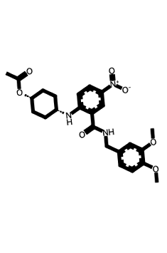 COc1ccc(CNC(=O)c2cc([N+](=O)[O-])ccc2N[C@H]2CC[C@@H](OC(C)=O)CC2)cc1OC